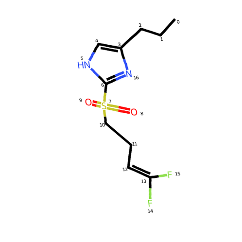 CCCc1c[nH]c(S(=O)(=O)CCC=C(F)F)n1